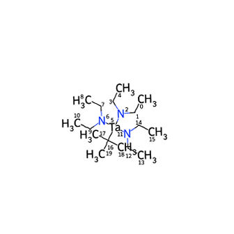 CC[N](CC)[Ta]([N](CC)CC)([N](CC)CC)[C](C)(C)C